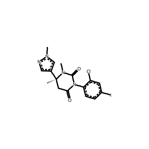 CN1C(=O)N(c2ccc(I)cc2Cl)C(=O)C[C@@]1(C)c1cnn(C)c1